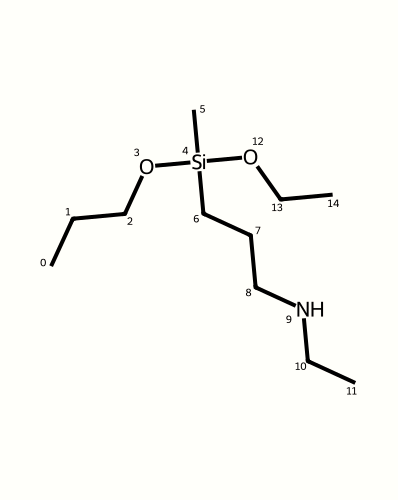 CCCO[Si](C)(CCCNCC)OCC